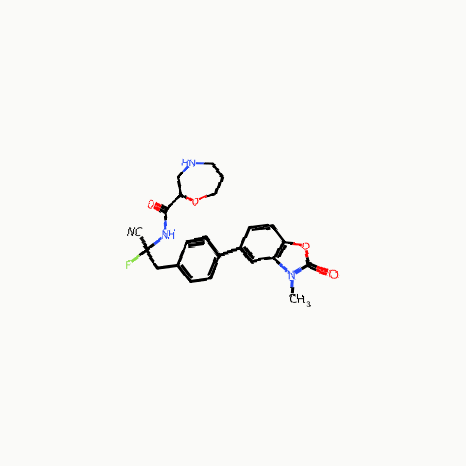 Cn1c(=O)oc2ccc(-c3ccc(CC(F)(C#N)NC(=O)C4CNCCCO4)cc3)cc21